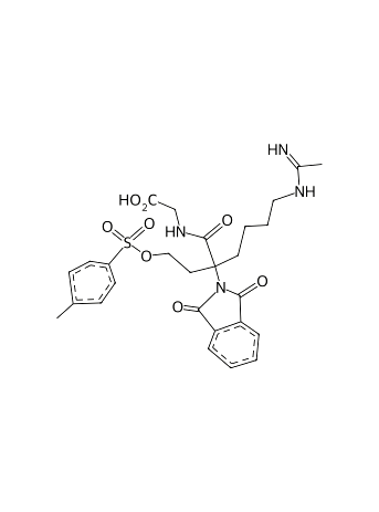 CC(=N)NCCCCC(CCOS(=O)(=O)c1ccc(C)cc1)(C(=O)NCC(=O)O)N1C(=O)c2ccccc2C1=O